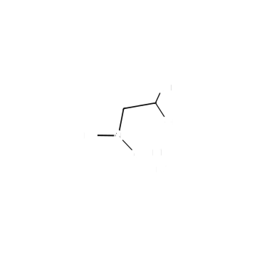 CC(O)CN(C)C.Cl.Cl